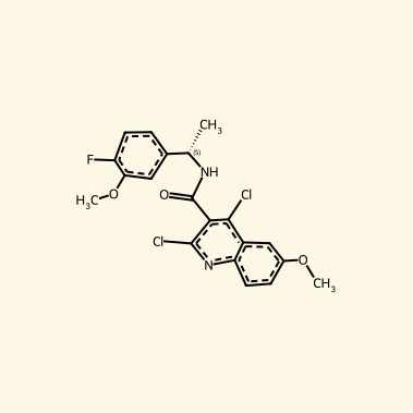 COc1ccc2nc(Cl)c(C(=O)N[C@@H](C)c3ccc(F)c(OC)c3)c(Cl)c2c1